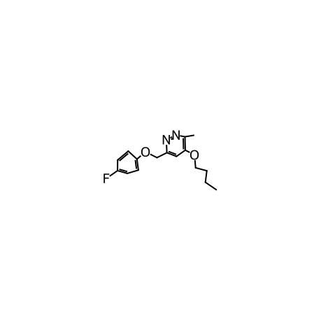 CCCCOc1cc(COc2ccc(F)cc2)nnc1C